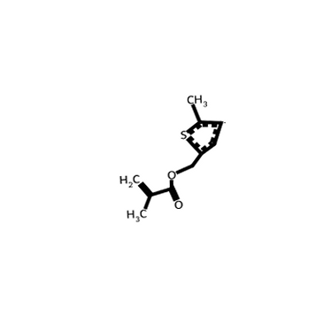 C=C(C)C(=O)OCc1c[c]c(C)s1